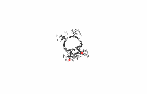 C[Si](C)(C)N1CCN2CCN([Si](C)(C)C)CCN([Si](C)(C)C)CCN(CCN([Si](C)(C)C)CC1)CCN([Si](C)(C)C)CCN([Si](C)(C)C)CC2